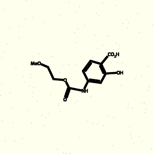 COCCOC(=O)Nc1ccc(C(=O)O)c(O)c1